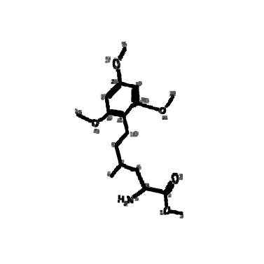 COC(=O)C(N)CC(C)CCc1c(OC)cc(OC)cc1OC